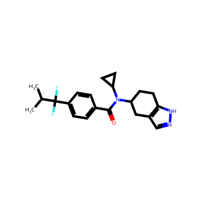 CC(C)C(F)(F)c1ccc(C(=O)N(C2CC2)C2CCc3[nH]ncc3C2)cc1